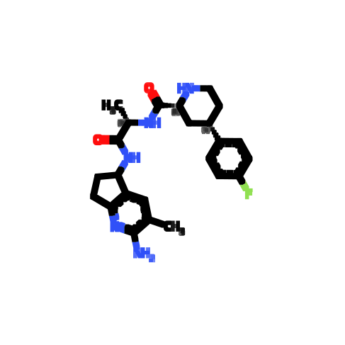 Cc1cc2c(nc1N)CCC2NC(=O)[C@H](C)NC(=O)[C@H]1C[C@@H](c2ccc(F)cc2)CCN1